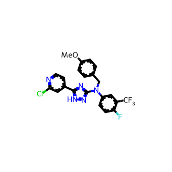 COc1ccc(CN(c2ccc(F)c(C(F)(F)F)c2)c2n[nH]c(-c3ccnc(Cl)c3)n2)cc1